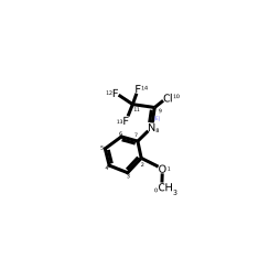 COc1ccccc1/N=C(/Cl)C(F)(F)F